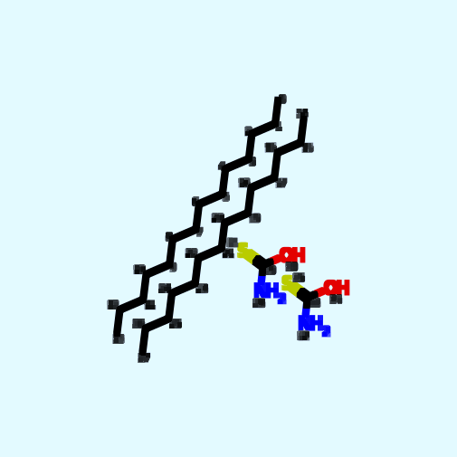 CCCCCCCCCCCCCC.CCCCCCCCCCCCCC.NC(O)=S.NC(O)=S